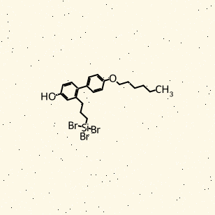 CCCCCCOc1ccc(-c2ccc(O)cc2CCC[Si](Br)(Br)Br)cc1